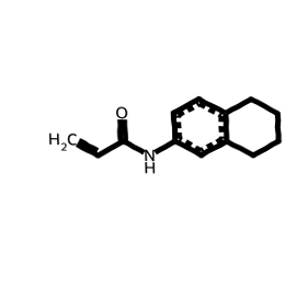 C=CC(=O)Nc1ccc2c(c1)CCCC2